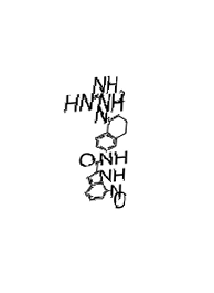 N=C(N)N/N=C1\CCCc2cc(NC(=O)c3cc4cccc(N=O)c4[nH]3)ccc21